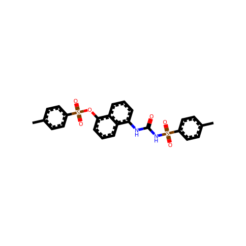 Cc1ccc(S(=O)(=O)NC(=O)Nc2cccc3c(OS(=O)(=O)c4ccc(C)cc4)cccc23)cc1